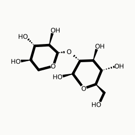 OC[C@H]1O[C@@H](O)[C@H](O[C@@H]2OC[C@@H](O)[C@H](O)[C@H]2O)[C@@H](O)[C@@H]1O